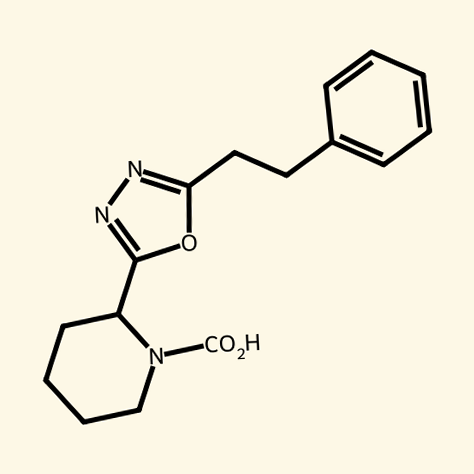 O=C(O)N1CCCCC1c1nnc(CCc2ccccc2)o1